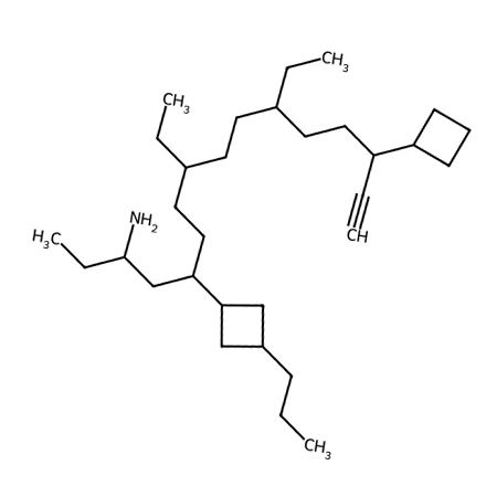 C#CC(CCC(CC)CCC(CC)CCC(CC(N)CC)C1CC(CCC)C1)C1CCC1